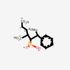 CC(=O)NC(c1ccccc1)C(C(CCC(=O)O)C(=O)O)[PH](=O)O